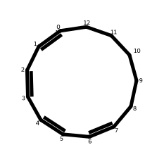 [C]1=CC=CC=CC=CCCCCC1